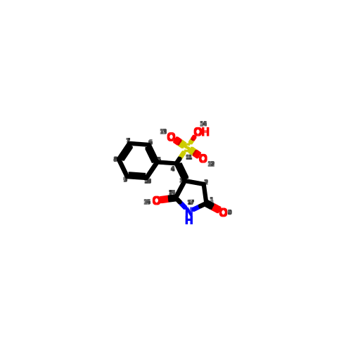 O=C1CC(=C(c2ccccc2)S(=O)(=O)O)C(=O)N1